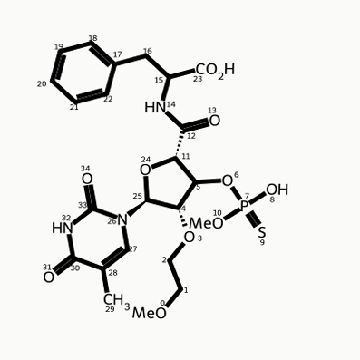 COCCO[C@H]1C(OP(O)(=S)OC)[C@@H](C(=O)NC(Cc2ccccc2)C(=O)O)O[C@@H]1n1cc(C)c(=O)[nH]c1=O